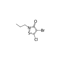 CCCn1sc(Cl)c(Br)c1=O